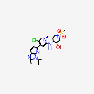 C=N/C(=C\C(=C(/C)Cl)c1ccc2nc(C)n(C(C)C)c2n1)N[C@@H]1CCN(S(C)(=O)=O)C[C@H]1O